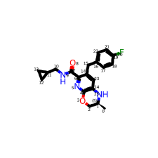 C[C@H]1COc2nc(C(=O)NCC3CC3)c(Cc3ccc(F)cc3)cc2N1